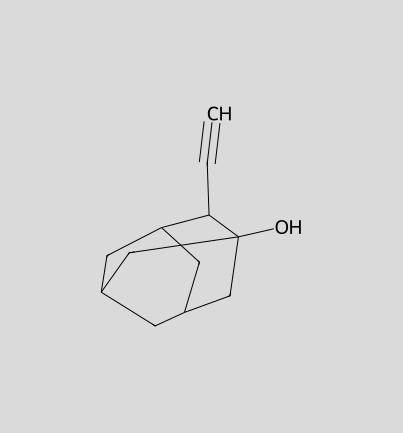 C#CC1C2CC3CC(C2)CC1(O)C3